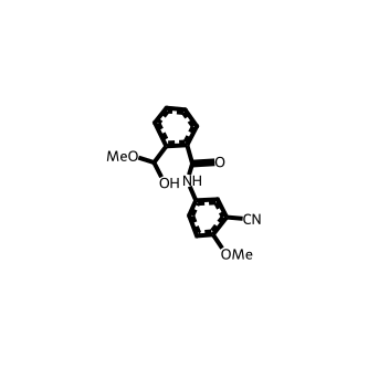 COc1ccc(NC(=O)c2ccccc2C(O)OC)cc1C#N